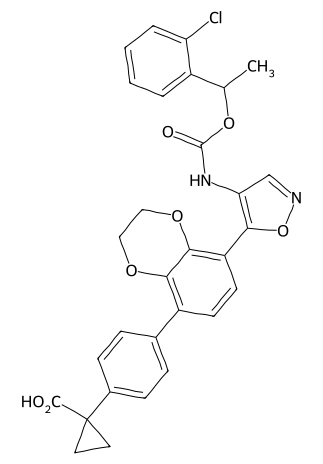 CC(OC(=O)Nc1cnoc1-c1ccc(-c2ccc(C3(C(=O)O)CC3)cc2)c2c1OCCO2)c1ccccc1Cl